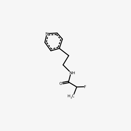 CC(F)C(=O)NCCc1ccncc1